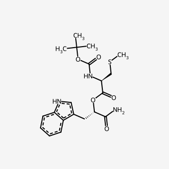 CSC[C@H](NC(=O)OC(C)(C)C)C(=O)O[C@@H](Cc1c[nH]c2ccccc12)C(N)=O